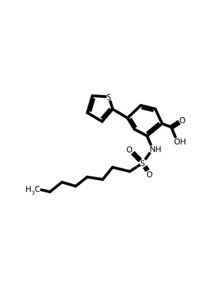 CCCCCCCCS(=O)(=O)Nc1cc(-c2cccs2)ccc1C(=O)O